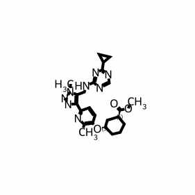 COC(=O)[C@H]1CCC[C@H](Oc2ccc(-c3nnn(C)c3CNc3ncnc(C4CC4)n3)nc2C)C1